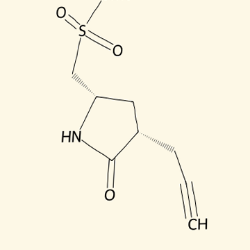 C#CC[C@H]1C[C@@H](CS(=O)(=O)OC)NC1=O